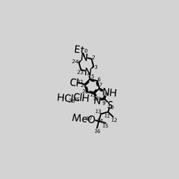 CCN1CCN(c2cc3[nH]c(SC(C)CC(C)(C)OC)nc3cc2Cl)CC1.Cl.Cl